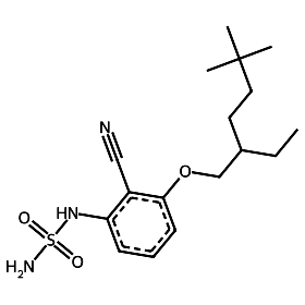 CCC(CCC(C)(C)C)COc1cccc(NS(N)(=O)=O)c1C#N